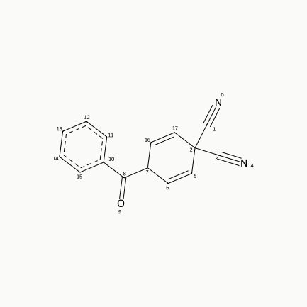 N#CC1(C#N)C=CC(C(=O)c2ccccc2)C=C1